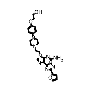 Nc1nc2c(ncn2CCN2CCN(c3ccc(OCCO)cc3)CC2)c2nc(-c3ccco3)nn12